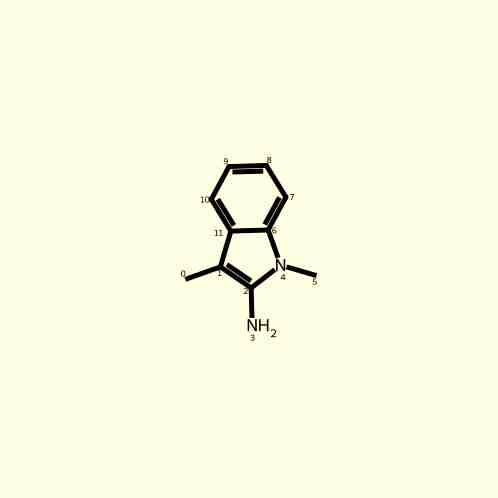 Cc1c(N)n(C)c2ccccc12